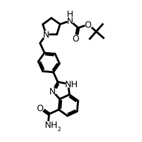 CC(C)(C)OC(=O)NC1CCN(Cc2ccc(-c3nc4c(C(N)=O)cccc4[nH]3)cc2)C1